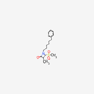 CC1C(=O)N(CCCCCCc2ccccc2)C1S(C)(=O)=O